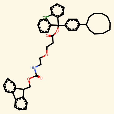 O=C(CCOCCNC(=O)OCC1c2ccccc2-c2ccccc21)OC(c1ccccc1)(c1ccc(C2CCCCCCCCC2)cc1)c1ccccc1Cl